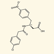 O=C(O)C[C@H](Cc1ccc([N+](=O)[O-])cc1)NC(=O)Cc1ccc(Cl)cc1